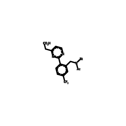 CCN(Cc1cc(C(F)(F)F)ccc1-c1nccc(CC(=O)O)n1)C(C)=O